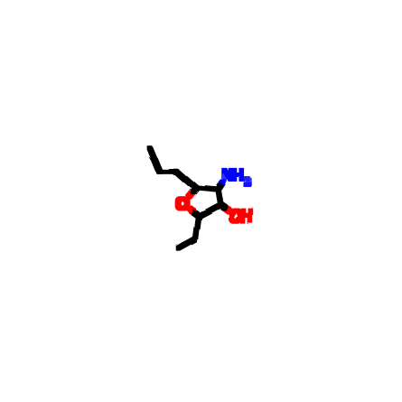 CCCC1OC(CC)C(O)C1N